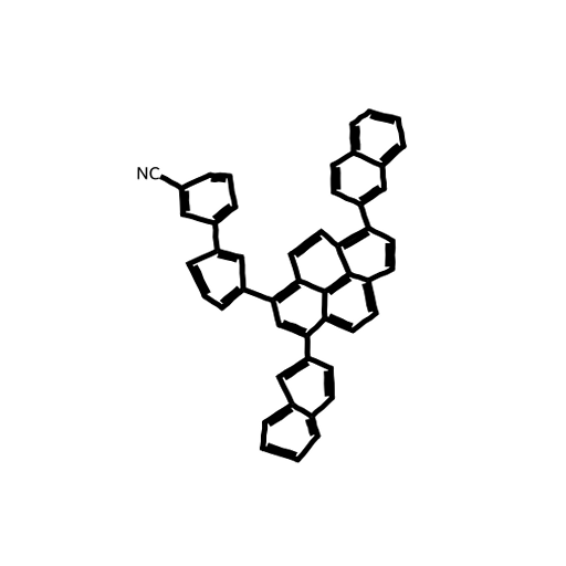 N#Cc1cccc(-c2cccc(-c3cc(-c4ccc5ccccc5c4)c4ccc5ccc(-c6ccc7ccccc7c6)c6ccc3c4c56)c2)c1